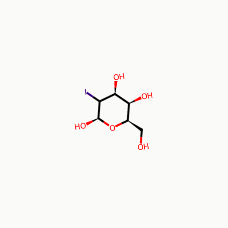 OC[C@H]1O[C@@H](O)C(I)[C@@H](O)[C@H]1O